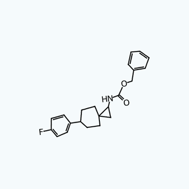 O=C(NC1CC12CCC(c1ccc(F)cc1)CC2)OCc1ccccc1